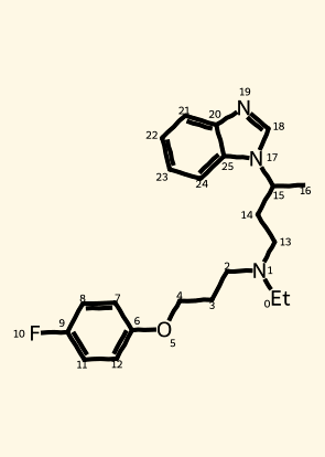 CCN(CCCOc1ccc(F)cc1)CCC(C)n1cnc2ccccc21